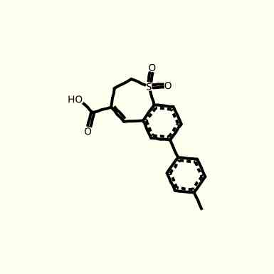 Cc1ccc(-c2ccc3c(c2)C=C(C(=O)O)CCS3(=O)=O)cc1